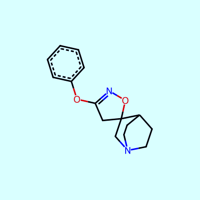 c1ccc(OC2=NOC3(C2)CN2CCC3CC2)cc1